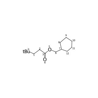 CC(C)(C)CCC(=O)OCC1CCCCC1